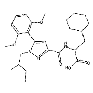 CCC(C)Cn1nc(C(=O)NC(CC2CCCCC2)C(=O)O)cc1-c1c(OC)cccc1OC